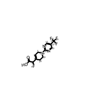 O=C(O)C(F)C1=CCN(c2ncc(C(F)(F)F)cn2)CC1